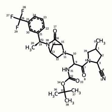 CC1CC(C#N)N(C(=O)C(CN2CC3CC2C(=O)N3[C@@H](C)c2cccc(C(F)(F)F)c2)NC(=O)OC(C)(C)C)C1